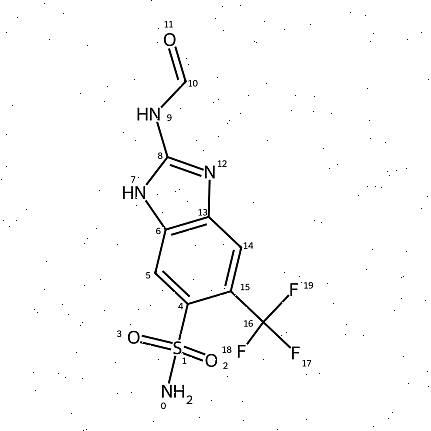 NS(=O)(=O)c1cc2[nH]c(NC=O)nc2cc1C(F)(F)F